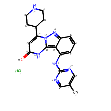 Cl.N#Cc1cnc(Nc2cccc3nn4c(C5CCNCC5)cc(=O)[nH]c4c23)nc1